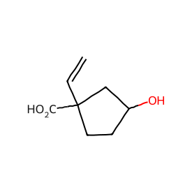 C=CC1(C(=O)O)CCC(O)C1